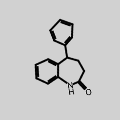 O=C1CCC(c2ccccc2)c2ccccc2N1